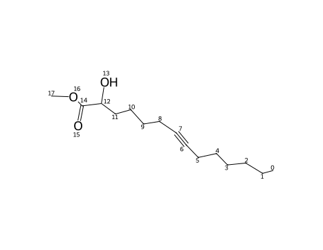 CCCCCCC#CCCCCC(O)C(=O)OC